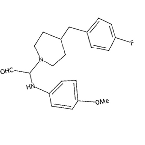 COc1ccc(NC(C=O)N2CCC(Cc3ccc(F)cc3)CC2)cc1